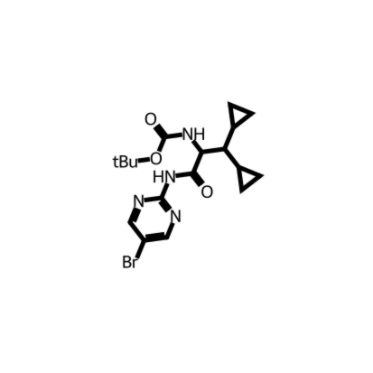 CC(C)(C)OC(=O)NC(C(=O)Nc1ncc(Br)cn1)C(C1CC1)C1CC1